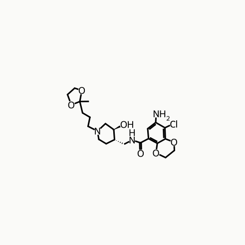 CC1(CCCN2CC[C@@H](CNC(=O)c3cc(N)c(Cl)c4c3OCCO4)[C@H](O)C2)OCCO1